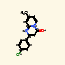 Cc1ccn2c(=O)cc(-c3ccc(Cl)cc3)nc2c1